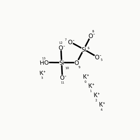 [K+].[K+].[K+].[K+].[K+].[O-][Si]([O-])([O-])O[Si]([O-])([O-])O